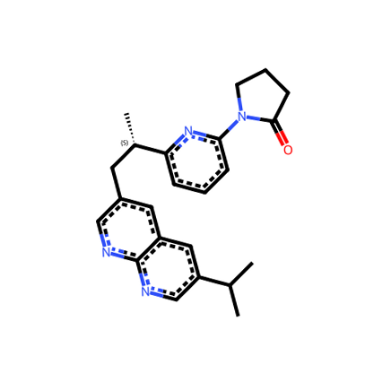 CC(C)c1cnc2ncc(C[C@H](C)c3cccc(N4CCCC4=O)n3)cc2c1